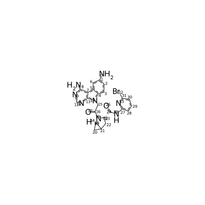 Nc1ccc2c(c1)c1c(N)ncnc1n2CC(=O)N1[C@@H]2CC2C[C@H]1C(=O)Nc1cccc(Br)n1